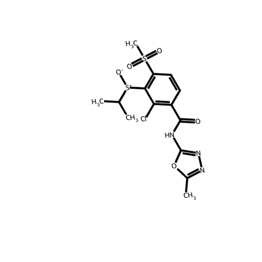 Cc1nnc(NC(=O)c2ccc(S(C)(=O)=O)c([S+]([O-])C(C)C)c2Cl)o1